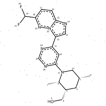 C[C@@H]1C[C@H](CO)[C@H](C)N(c2cc(-c3cnc4ccc(C(F)F)nn34)ncn2)C1